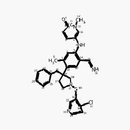 Cc1cc(NC(/C=C\C=O)=C/N(C)C)c(C=N)cc1C1(Cc2ccccc2)CCN(Sc2cnccc2Cl)C1